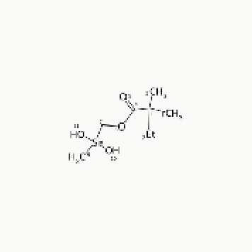 CCC(C)(C)C(=O)OC[Si](C)(O)O